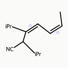 C/C=C\C=C(\C(C)C)C(C#N)C(C)C